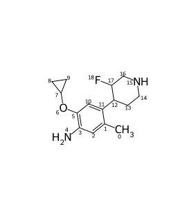 Cc1cc(N)c(OC2CC2)cc1C1CCNCC1F